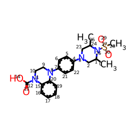 CC1CN(c2ccc(N3CCN(C(=O)O)c4ccccc43)cc2)CC(C)N1S(C)(=O)=O